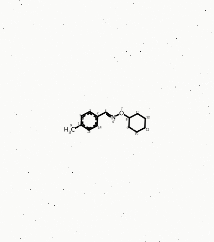 Cc1ccc(/[C]=N/OC2CCCCC2)cc1